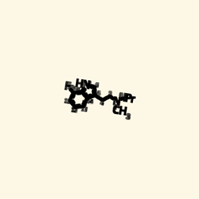 CC(C)N(C)CCc1c[nH]c2c(F)cccc12